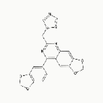 c1ncn(Cc2nc(-c3ccc4c(c3)OCO4)c3cc4c(cc3n2)OCO4)n1